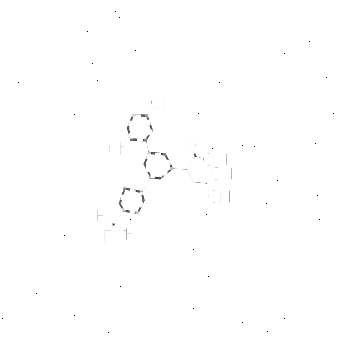 CC(C)CC(C(=O)O)c1cc(-c2ccc(C(F)(F)F)cc2)cc(-c2cc(Cl)ccc2Cl)c1